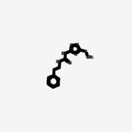 CC(=O)OSc1nnc(NC(=O)NCCc2ccccc2)s1